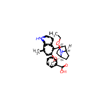 CCO[C@H]1C[C@H]2CC[C@@](c3ccccc3C(=O)O)(C1)N2Cc1c(OC)cc(C)c2[nH]ccc12